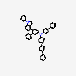 c1ccc(-c2ccc(-c3ccc(N(c4ccc(-c5ccccc5)cc4)c4ccc(-c5cccc6c5ccn6-c5ccccc5)c(-c5ccccc5)c4)cc3)cc2)cc1